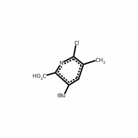 Cc1cc(C(C)(C)C)c(C(=O)O)nc1Cl